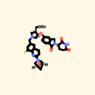 COC[C@@H]1CN(Cc2cc(F)c3nc(N4C[C@H]5C[C@@H](C4)O5)ccc3c2)C[C@H]1Oc1ccc2c(c1)CN([C@H]1CCC(=O)NC1=O)C2=O